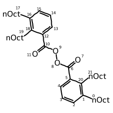 CCCCCCCCc1cccc(C(=O)OOC(=O)c2cccc(CCCCCCCC)c2CCCCCCCC)c1CCCCCCCC